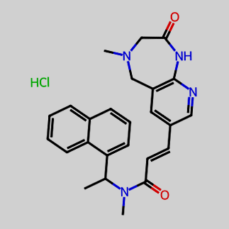 CC(c1cccc2ccccc12)N(C)C(=O)C=Cc1cnc2c(c1)CN(C)CC(=O)N2.Cl